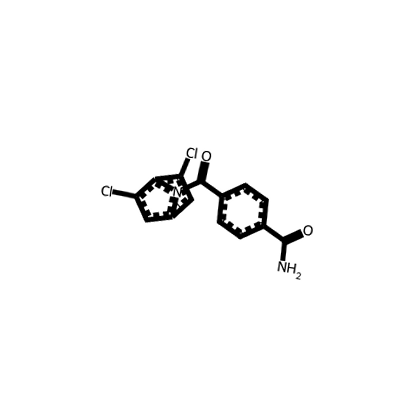 NC(=O)c1ccc(C(=O)n2c3cc(Cl)c2c(Cl)c3)cc1